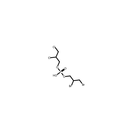 O=P(O)(OCC(Cl)CCl)OCC(Br)CBr